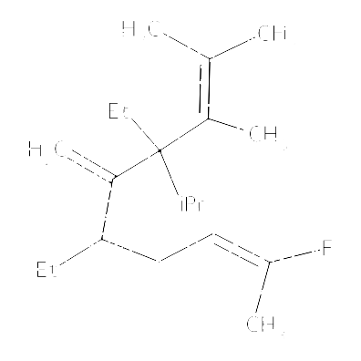 C=C(C(CC)C/C=C(\C)F)C(CC)(C(C)=C(C)C)C(C)C